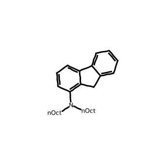 CCCCCCCCN(CCCCCCCC)c1cccc2c1Cc1ccccc1-2